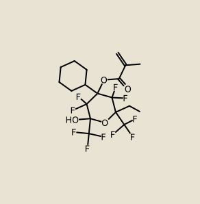 C=C(C)C(=O)OC1(C2CCCCC2)C(F)(F)C(O)(C(F)(F)F)OC(CC)(C(F)(F)F)C1(F)F